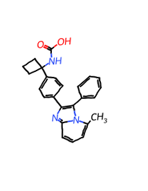 Cc1cccc2nc(-c3ccc(C4(NC(=O)O)CCC4)cc3)c(-c3ccccc3)n12